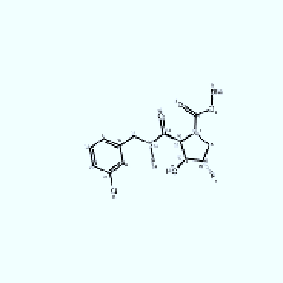 CC(C)(C)OC(=O)N1C[C@H](F)[C@@H](O)[C@H]1C(=O)N(F)Cc1cccc(Cl)c1